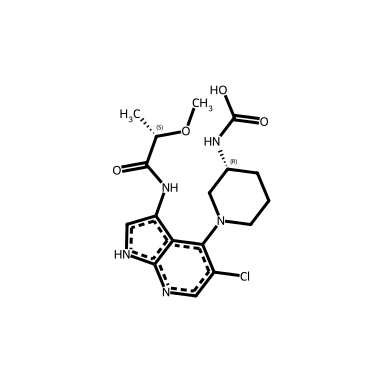 CO[C@@H](C)C(=O)Nc1c[nH]c2ncc(Cl)c(N3CCC[C@@H](NC(=O)O)C3)c12